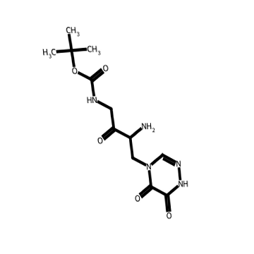 CC(C)(C)OC(=O)NCC(=O)C(N)Cn1[c]n[nH]c(=O)c1=O